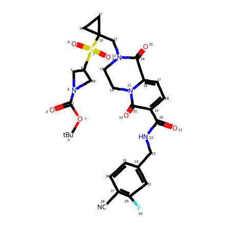 CC(C)(C)OC(=O)N1CC(S(=O)(=O)C2(CN3CCn4c(ccc(C(=O)NCc5ccc(C#N)c(F)c5)c4=O)C3=O)CC2)C1